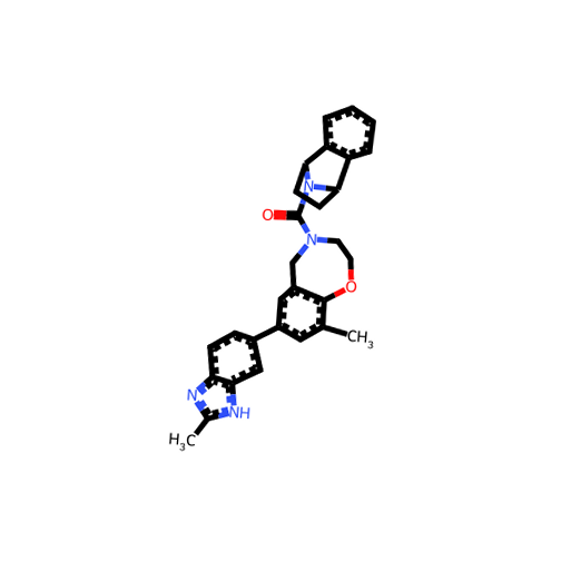 Cc1nc2ccc(-c3cc(C)c4c(c3)CN(C(=O)N3C5CCC3c3ccccc35)CCO4)cc2[nH]1